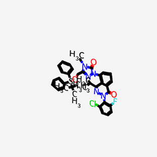 CCn1c(CO[Si](c2ccccc2)(c2ccccc2)C(C)(C)C)nn(-c2cccc3c(=O)n(-c4c(F)cccc4Cl)nc(C(C)C)c23)c1=O